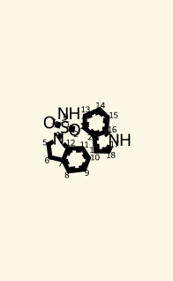 NS(=O)(=O)N1CCc2ccccc21.c1ccc2[nH]ccc2c1